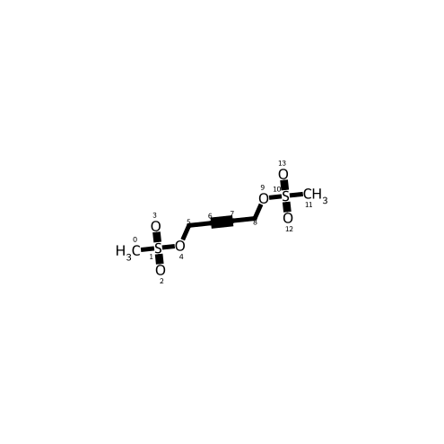 CS(=O)(=O)OCC#CCOS(C)(=O)=O